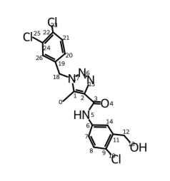 Cc1c(C(=O)Nc2ccc(Cl)c(CO)c2)nnn1Cc1ccc(Cl)c(Cl)c1